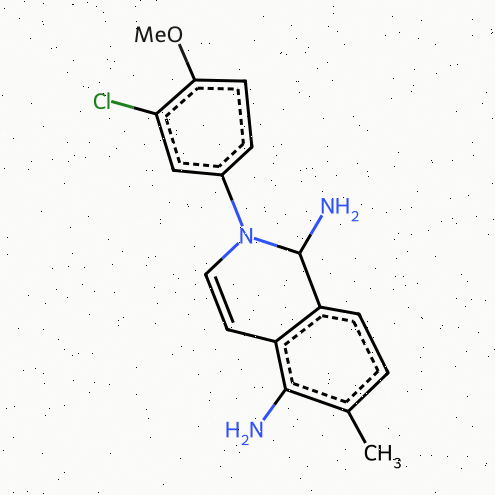 COc1ccc(N2C=Cc3c(ccc(C)c3N)C2N)cc1Cl